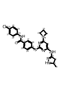 CC1CC(Nc2cc(N3CCC3)nc(Sc3ccc(C(=O)Nc4ccc(Cl)cc4)cc3)n2)=NN1